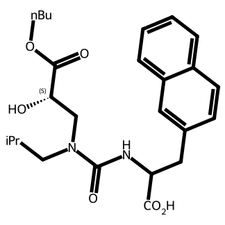 CCCCOC(=O)[C@@H](O)CN(CC(C)C)C(=O)NC(Cc1ccc2ccccc2c1)C(=O)O